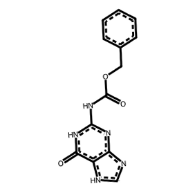 O=C(Nc1nc2n[c][nH]c2c(=O)[nH]1)OCc1ccccc1